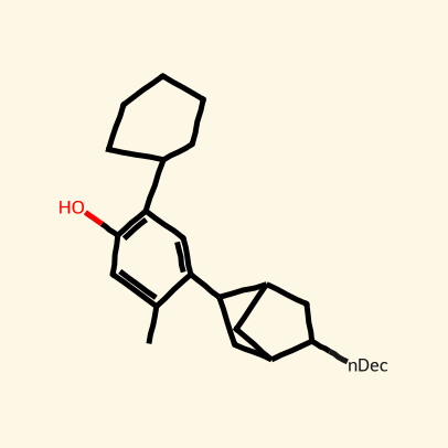 CCCCCCCCCCC1CC2CC1CC2c1cc(C2CCCCC2)c(O)cc1C